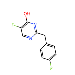 Oc1nc(Cc2ccc(F)cc2)ncc1F